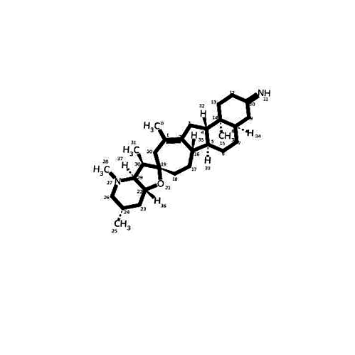 CC1=C2C[C@H]3[C@@H](CC[C@@H]4CC(=N)CC[C@@]43C)[C@@H]2CC[C@@]2(C1)O[C@@H]1C[C@H](C)CN(C)[C@H]1[C@H]2C